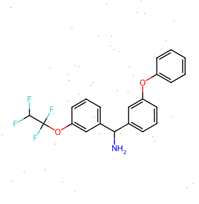 NC(c1cccc(Oc2ccccc2)c1)c1cccc(OC(F)(F)C(F)F)c1